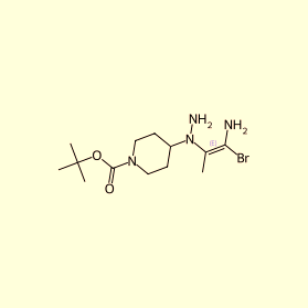 C/C(=C(/N)Br)N(N)C1CCN(C(=O)OC(C)(C)C)CC1